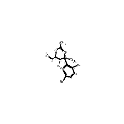 CC1=N[C@](C)(c2nc(Br)ccc2F)[C@@H](F)[C@@H](CO)S1